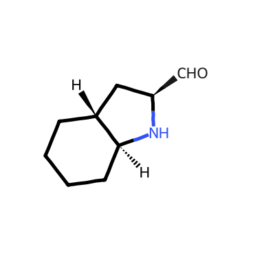 O=C[C@@H]1C[C@H]2CCCC[C@@H]2N1